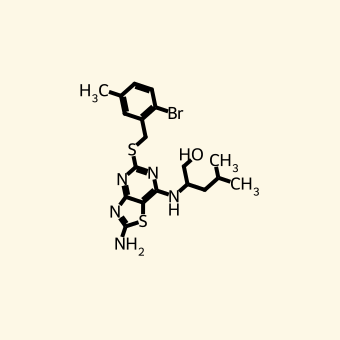 Cc1ccc(Br)c(CSc2nc(NC(CO)CC(C)C)c3sc(N)nc3n2)c1